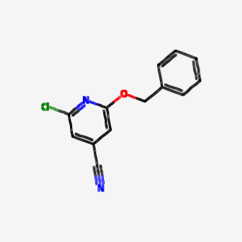 N#Cc1cc(Cl)nc(OCc2ccccc2)c1